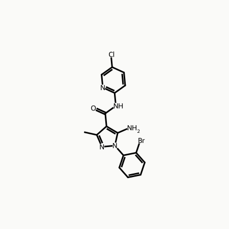 Cc1nn(-c2ccccc2Br)c(N)c1C(=O)Nc1ccc(Cl)cn1